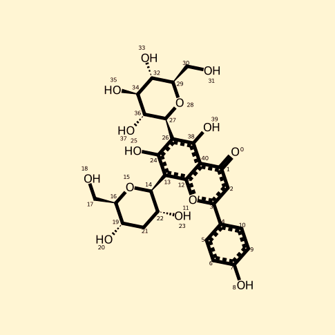 O=c1cc(-c2ccc(O)cc2)oc2c([C@@H]3O[C@H](CO)[C@@H](O)C[C@H]3O)c(O)c([C@@H]3O[C@H](CO)[C@@H](O)[C@H](O)[C@H]3O)c(O)c12